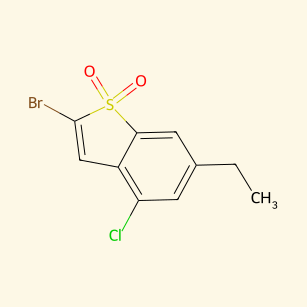 CCc1cc(Cl)c2c(c1)S(=O)(=O)C(Br)=C2